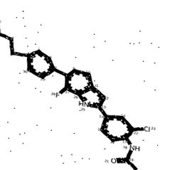 CCCCc1ccc(-c2ccc3cc(-c4ccc(NC(C)=O)c(Cl)c4)[nH]c3c2F)cc1